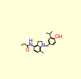 CCC(=O)Nc1ccc(C)c2c1CCN2Cc1ccc(O)c(C(C)C)c1